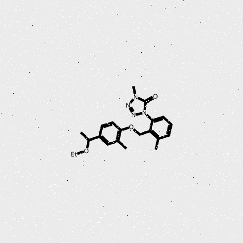 CCOC(C)c1ccc(OCc2c(C)cccc2-n2nnn(C)c2=O)c(C)c1